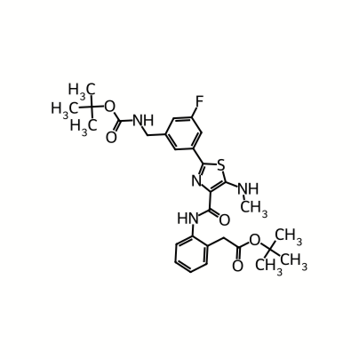 CNc1sc(-c2cc(F)cc(CNC(=O)OC(C)(C)C)c2)nc1C(=O)Nc1ccccc1CC(=O)OC(C)(C)C